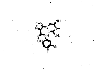 CN(C(=N)CSc1nonc1/C(=N/O)Nc1ccc(F)c(Br)c1)C(N)=O